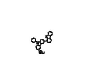 CC(C)(C)c1ccc2c(c1)c1cc(-c3cccc4c3sc3ccccc34)ccc1n2-c1ccccc1